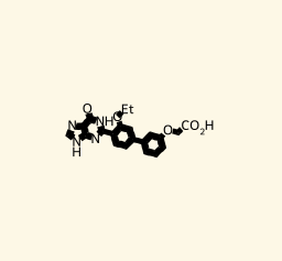 CCOc1cc(-c2cccc(OCC(=O)O)c2)ccc1-c1nc2[nH]cnc2c(=O)[nH]1